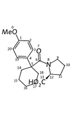 COc1ccc(C2(C(=O)N3CCC[C@H]3C(=O)O)CCCCC2)cc1